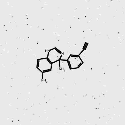 C#Cc1cccc(C2(N)N=CNc3ccc(N)cc32)c1